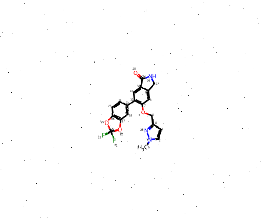 Cn1ccc(COc2cc3c(cc2-c2ccc4c(c2)OC(F)(F)O4)C(=O)NC3)n1